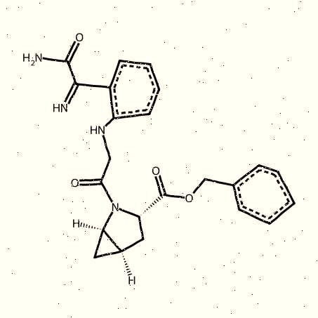 N=C(C(N)=O)c1ccccc1NCC(=O)N1[C@@H]2C[C@@H]2C[C@H]1C(=O)OCc1ccccc1